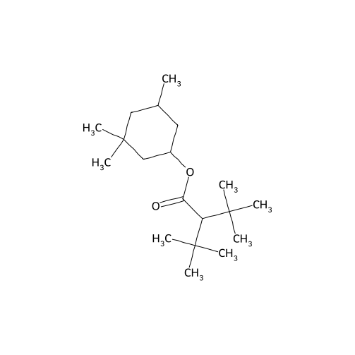 CC1CC(OC(=O)C(C(C)(C)C)C(C)(C)C)CC(C)(C)C1